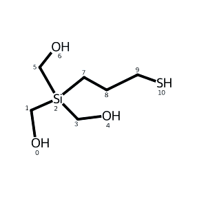 OC[Si](CO)(CO)CCCS